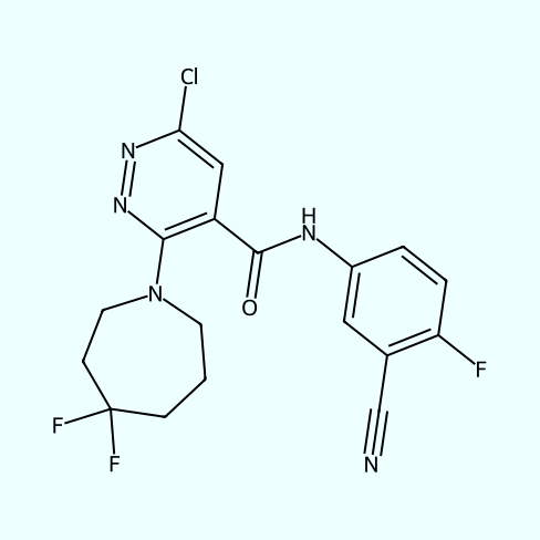 N#Cc1cc(NC(=O)c2cc(Cl)nnc2N2CCCC(F)(F)CC2)ccc1F